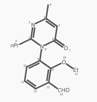 CCCc1nc(C)cc(=O)n1-c1cccc(C=O)c1OCC